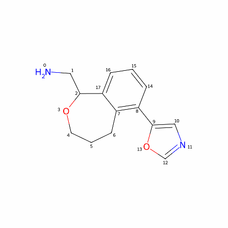 NCC1OCCCc2c(-c3cnco3)cccc21